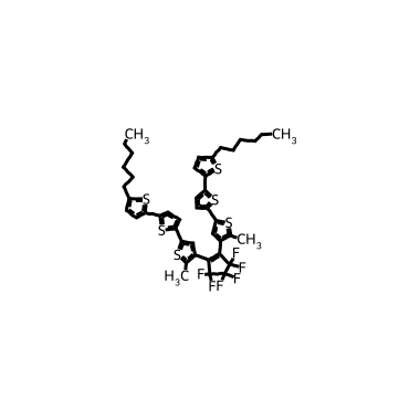 CCCCCCc1ccc(-c2ccc(-c3cc(C4=C(c5cc(-c6ccc(-c7ccc(CCCCCC)s7)s6)sc5C)C(F)(F)C(F)(F)C4(F)F)c(C)s3)s2)s1